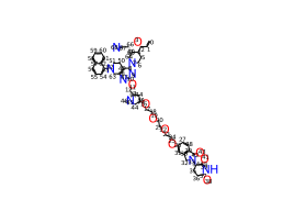 C=CC(=O)C1CCN(c2nc(OC[C@@H]3C[C@@H](OCCOCCOCCOc4ccc5c(c4)CN(C4CCC(=O)NC4=O)C5=O)CN3C)nc3c2CCN(c2cccc4ccccc24)C3)C[C@@H]1CC#N